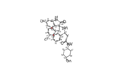 O=C(CC(NC1(Cc2cccc(Cl)c2)C(=O)Nc2cc(Cl)ccc21)c1ccccc1)NC1CCC(O)CC1